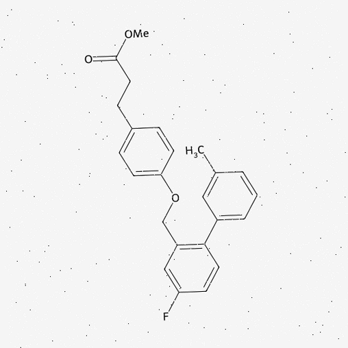 COC(=O)CCc1ccc(OCc2cc(F)ccc2-c2cccc(C)c2)cc1